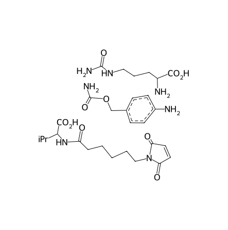 CC(C)C(NC(=O)CCCCCN1C(=O)C=CC1=O)C(=O)O.NC(=O)NCCCC(N)C(=O)O.NC(=O)OCc1ccc(N)cc1